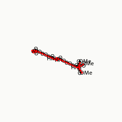 COC(=O)CCOCC(COCCC(=O)OC)(COCCC(=O)OC)NC(=O)CCOCCOCCOCCOCCNC(=O)c1ccc(/C=N/NC(=O)CCOCCOCCOCCOCCN2C(=O)c3ccccc3C2=O)cc1